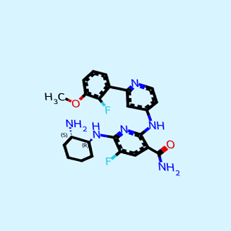 COc1cccc(-c2cc(Nc3nc(N[C@@H]4CCCC[C@@H]4N)c(F)cc3C(N)=O)ccn2)c1F